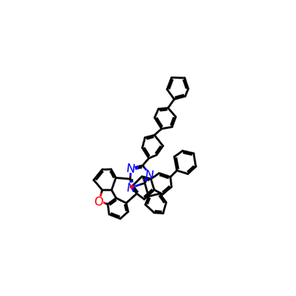 C1=CC2Oc3cccc(-c4ccc5cc(-c6ccccc6)ccc5c4)c3C2C(c2nc(-c3ccccc3)nc(-c3ccc(-c4ccc(-c5ccccc5)cc4)cc3)n2)=C1